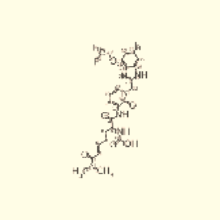 CN(C)C(=O)/C=C/CCC(NC(=O)O)C(=O)Nc1cccn(Cc2nc3c(OCC(F)F)cc(F)cc3[nH]2)c1=O